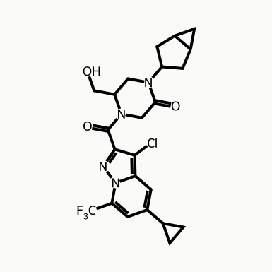 O=C1CN(C(=O)c2nn3c(C(F)(F)F)cc(C4CC4)cc3c2Cl)C(CO)CN1C1CC2CC2C1